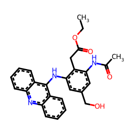 CCOC(=O)Cc1c(NC(C)=O)cc(CO)cc1Nc1c2ccccc2nc2ccccc12